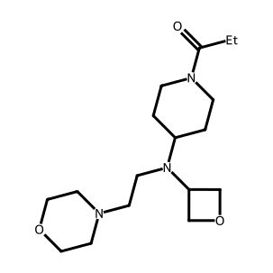 CCC(=O)N1CCC(N(CCN2CCOCC2)C2COC2)CC1